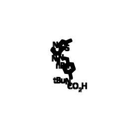 CCCCc1nc2cnc3cc(C)sc3c2n1Cc1ccc(CN(C(=O)O)C(C)(C)C)cc1